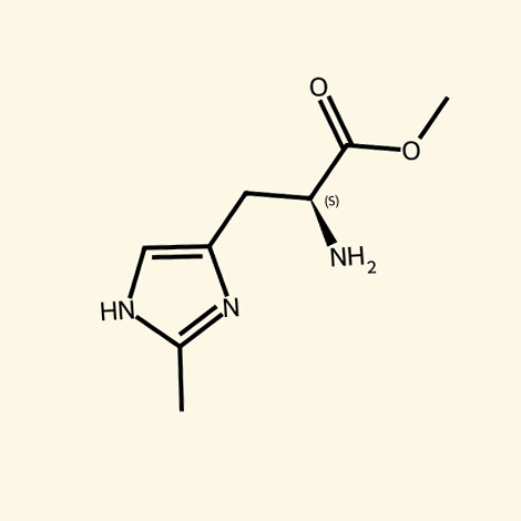 COC(=O)[C@@H](N)Cc1c[nH]c(C)n1